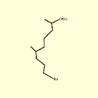 [CH2]CC(C)CCCC(C)CCCC(C)OC